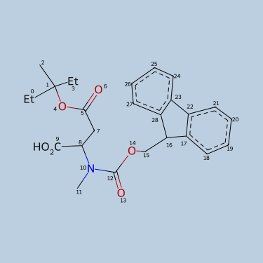 CCC(C)(CC)OC(=O)CC(C(=O)O)N(C)C(=O)OCC1c2ccccc2-c2ccccc21